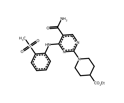 CCOC(=O)C1CCN(c2ncc(C(N)=O)c(Nc3ccccc3S(C)(=O)=O)n2)CC1